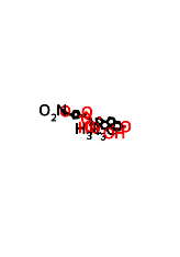 C[C@]12C=CC(=O)C=C1CCC1C2[C@@H](O)C[C@@]2(C)C1CC[C@]2(O)C(=O)COC(=O)c1ccc(CO[N+](=O)[O-])cc1